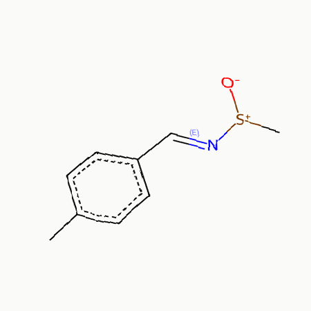 Cc1ccc(/C=N/[S+](C)[O-])cc1